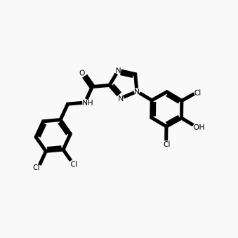 O=C(NCc1ccc(Cl)c(Cl)c1)c1ncn(-c2cc(Cl)c(O)c(Cl)c2)n1